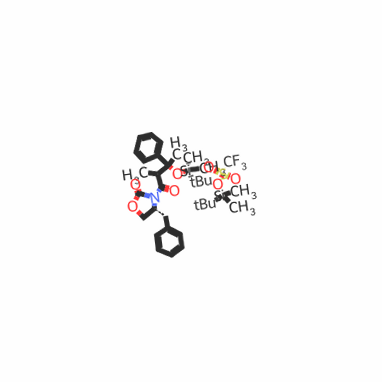 CC(C(=O)N1C(=O)OC[C@H]1Cc1ccccc1)C(C)(O[Si](C)(C)C(C)(C)C)c1ccccc1.CC(C)(C)[Si](C)(C)OS(=O)(=O)C(F)(F)F